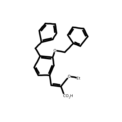 CCO/C(=C\c1ccc(Cc2ccccc2)c(OCc2ccccc2)c1)C(=O)O